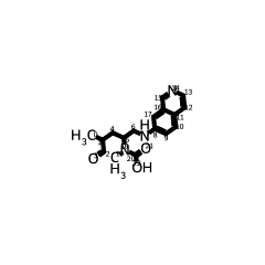 CC(C=O)CC(CNc1ccc2ccncc2c1)N(C)C(=O)O